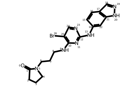 O=C1CCCN1CCCNc1nc(Nc2ccc3cn[nH]c3c2)ncc1Br